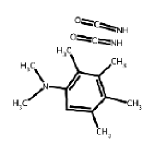 Cc1cc(N(C)C)c(C)c(C)c1C.N=C=O.N=C=O